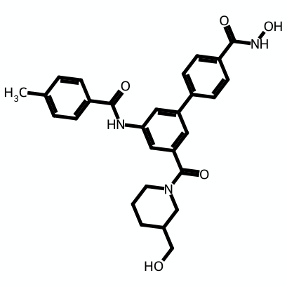 Cc1ccc(C(=O)Nc2cc(C(=O)N3CCCC(CO)C3)cc(-c3ccc(C(=O)NO)cc3)c2)cc1